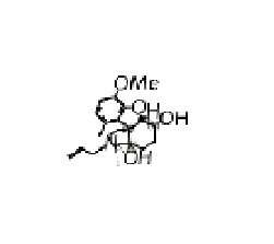 C=CCN1CC[C@@]23c4c(C)ccc(OC)c4O[C@@H]2[C@H](O)CC[C@]3(O)[C@@H]1C